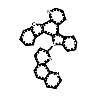 c1cnc2c(c1)ccc1ccc(-n3c4ccccc4c4c5cccnc5c5oc6ccccc6c5c43)nc12